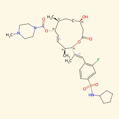 C/C(=C\c1ccc(S(=O)(=O)NC2CCCC2)cc1F)[C@H]1OC(=O)C[C@H](O)CC[C@H](C)[C@@H](OC(=O)N2CCN(C)CC2)/C=C/[C@@H]1C